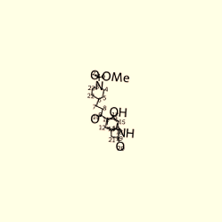 COC(=O)N1CCC(CCC(=O)c2cc3c(cc2O)NC(=O)C3)CC1